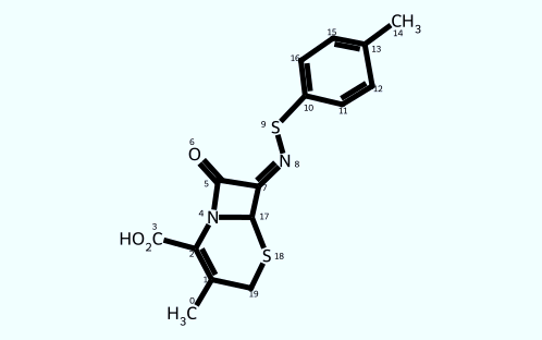 CC1=C(C(=O)O)N2C(=O)/C(=N\Sc3ccc(C)cc3)C2SC1